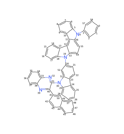 c1ccc(-n2c3ccccc3c3c4c5ccccc5n(-c5ccc6c7ccccc7n(-c7nc8ccccc8nc7-c7ccc8ccccc8c7)c6c5)c4ccc32)cc1